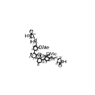 COc1cc(-c2nccc(-c3cccc(-c4ccc(CNC[C@@H]5CNC(=O)C5)c(OC)n4)c3Cl)c2Cl)ccc1CNC[C@@H]1CNC(=O)C1